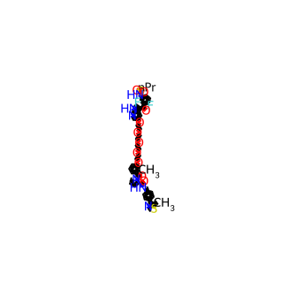 CCCS(=O)(=O)Nc1ccc(F)c(C(=O)c2c[nH]c3ncc(OCCOCCOCCOCCOc4cccc(C(=O)N5CCC[C@H]5C(=O)NCc5ccc(-c6ncsc6C)cc5)c4C)cc23)c1F